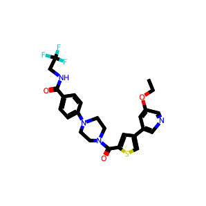 CCOc1cncc(-c2csc(C(=O)N3CCN(c4ccc(C(=O)NCC(F)(F)F)cc4)CC3)c2)c1